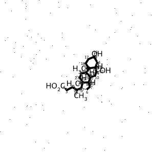 C[C@H](CCC(=O)O)[C@H]1CC[C@H]2[C@@H]3C[C@@H](O)[C@H]4C[C@@H](O)CC[C@]4(C)[C@H]3CC[C@]12C